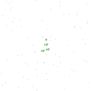 F.F.F.[Y]